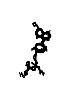 Cc1cc(-c2ccnc3cc(Cl)ccc23)ncc1OC[C@](C)(CC(C)C)OC(N)=O